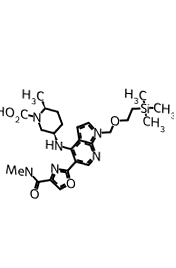 CNC(=O)c1coc(-c2cnc3c(ccn3COCC[Si](C)(C)C)c2N[C@@H]2CC[C@H](C)N(C(=O)O)C2)n1